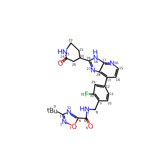 CC(C)(C)c1noc(C(=O)NCc2ccc(-c3ccnc4[nH]c(C5CCNC(=O)C5)nc34)cc2F)n1